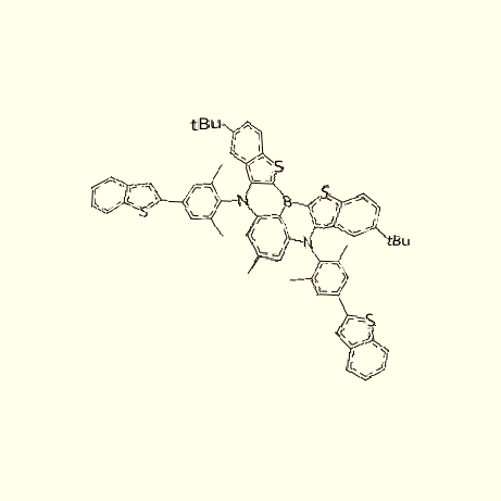 Cc1cc2c3c(c1)N(c1c(C)cc(-c4cc5ccccc5s4)cc1C)c1c(sc4ccc(C(C)(C)C)cc14)B3c1sc3ccc(C(C)(C)C)cc3c1N2c1c(C)cc(-c2cc3ccccc3s2)cc1C